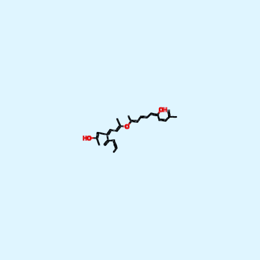 C=C(C)\C=C/C(O)=C\C=C\C=C(/C)O/C(C)=C/C=C(/C=C(\C)O)C(=C)/C=C\C